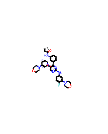 C=C/C=C(\C=C/CNc1cnc(Nc2ccc(F)c(N3CCOCC3)c2)nc1-c1cccc(NC(=O)C=C)c1)N1CCOCC1